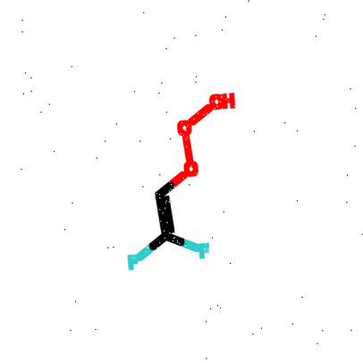 OOOC=C(F)F